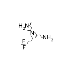 C=C(N)CC(=C)N1CC(CCN)=CC(CCCC(C)(F)F)C1